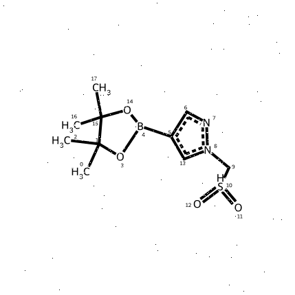 CC1(C)OB(c2cnn(C[SH](=O)=O)c2)OC1(C)C